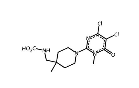 Cn1c(N2CCC(C)(CNC(=O)O)CC2)nc(Cl)c(Cl)c1=O